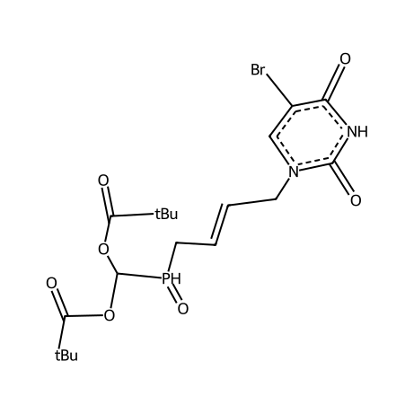 CC(C)(C)C(=O)OC(OC(=O)C(C)(C)C)[PH](=O)CC=CCn1cc(Br)c(=O)[nH]c1=O